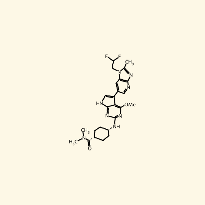 COc1nc(N[C@H]2CC[C@@H](C(=O)N(C)C)CC2)nc2[nH]cc(-c3cnc4nc(C)n(CC(F)F)c4c3)c12